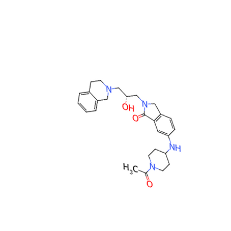 CC(=O)N1CCC(Nc2ccc3c(c2)C(=O)N(C[C@H](O)CN2CCc4ccccc4C2)C3)CC1